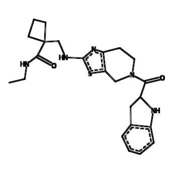 CCNC(=O)C1(CNc2nc3c(s2)CN(C(=O)C2Cc4ccccc4N2)CC3)CCC1